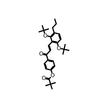 CCCc1ccc(OC(C)(C)C)c(/C=C/C(=O)c2ccc(OC(=O)C(C)(C)C)cc2)c1OC(C)(C)C